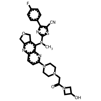 CN(c1nc(-c2ccc(F)cc2)c(C#N)s1)c1c2c(nc3ccc(N4CCN(CC(=O)N5CC(O)C5)CC4)nc13)COC2